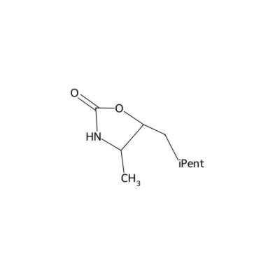 CCCC(C)CC1OC(=O)NC1C